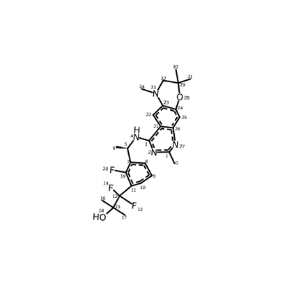 Cc1nc(N[C@H](C)c2cccc(C(F)(F)C(C)(C)O)c2F)c2cc3c(cc2n1)OC(C)(C)CN3C